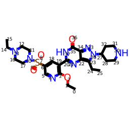 CCOc1ncc(S(=O)(=O)N2CCN(CC)CC2)cc1-c1nc2c(CC)n(C3CCNCC3)nc2c(=O)[nH]1